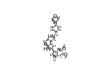 COc1cc2c(nc1OC)c(-c1cc3c(CNCc4ccc(N5CCOCC5)cc4)ccnc3[nH]1)cn2C